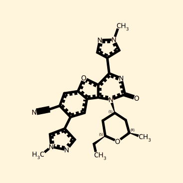 CC[C@H]1C[C@@H](n2c(=O)nc(-c3cnn(C)c3)c3oc4cc(C#N)c(-c5cnn(C)c5)cc4c32)C[C@@H](C)O1